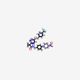 CC(=O)N1CCN(c2ccc(CNC(=O)C3(c4ccc(OCc5ccc(C(F)F)nc5)nn4)CC3)cc2F)CC1